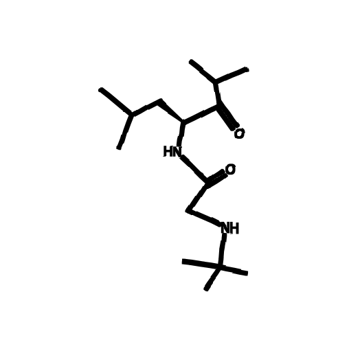 CC(C)C[C@H](NC(=O)CNC(C)(C)C)C(=O)C(C)C